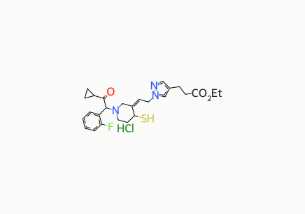 CCOC(=O)CCc1cnn(CC=C2CN(C(C(=O)C3CC3)c3ccccc3F)CCC2S)c1.Cl